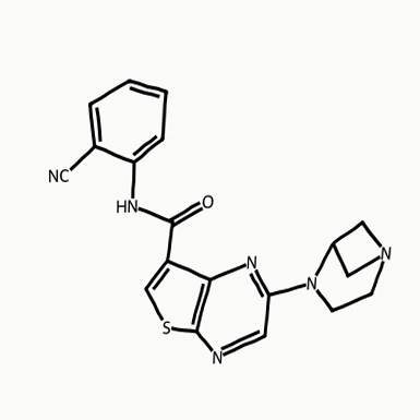 N#Cc1ccccc1NC(=O)c1csc2ncc(N3CCN4CC3C4)nc12